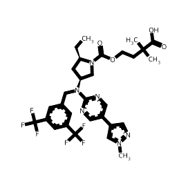 CC[C@@H]1C[C@H](N(Cc2cc(C(F)(F)F)cc(C(F)(F)F)c2)c2ncc(-c3cnn(C)c3)cn2)CN1C(=O)OCCC(C)(C)C(=O)O